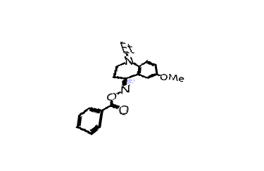 CCN1CC/C(=N\OC(=O)c2ccccc2)c2cc(OC)ccc21